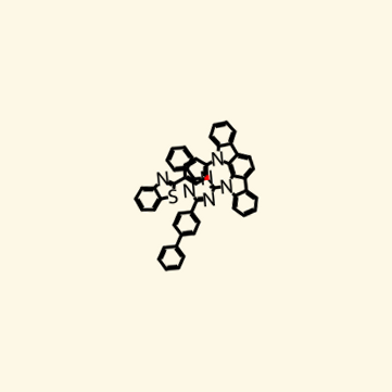 c1ccc(-c2ccc(-c3nc(-c4ccccc4)nc(-n4c5ccccc5c5ccc6c7ccccc7n(-c7ccc(-c8nc9ccccc9s8)cc7)c6c54)n3)cc2)cc1